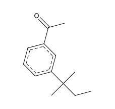 CCC(C)(C)c1cccc(C(C)=O)c1